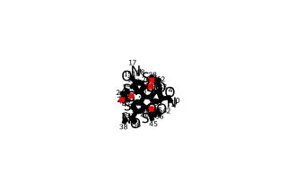 CN(C)C(=O)c1c2c(c([C](c3c4c(c(C(=O)N(C)C)c5c3SC(C)(C)S5)SC(C)(C)S4)c3c4c(c(C(=O)N(C)C)c5c3SC(C)(C)S5)SC(C)(C)S4)c3c1OC(C)(C)O3)OC(C)(C)O2